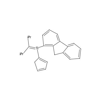 CC(C)[C](C(C)C)=[Ti]([C]1=CC=CC1)[c]1cccc2c1Cc1ccccc1-2